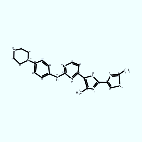 Cc1nc(-c2nc(C)c(-c3ccnc(Nc4ccc(N5CCOCC5)cc4)n3)s2)cs1